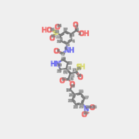 O=C(O)c1cc(NC(=O)[C@@H]2C[C@@H](C(C(=O)S)C(=O)OCc3ccc([N+](=O)[O-])cc3)CN2)cc(S(=O)(=O)O)c1